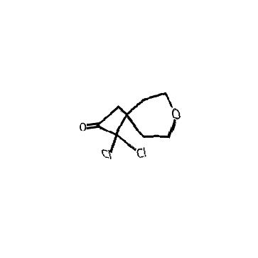 O=C1CC2(CCOCC2)C1(Cl)Cl